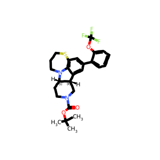 CC(C)(C)OC(=O)N1CC[C@H]2[C@@H](C1)c1cc(-c3ccccc3OC(F)(F)F)cc3c1N2CCCS3